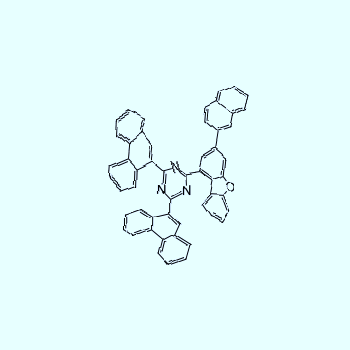 c1ccc2cc(-c3cc(-c4nc(-c5cc6ccccc6c6ccccc56)nc(-c5cc6ccccc6c6ccccc56)n4)c4c(c3)oc3ccccc34)ccc2c1